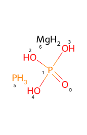 O=P(O)(O)O.P.[MgH2]